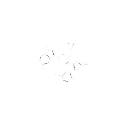 Cc1cccc(-c2sc(Br)nc2C(=O)N(CCc2c[nH]c3ccc(F)cc23)CC2CC2)c1